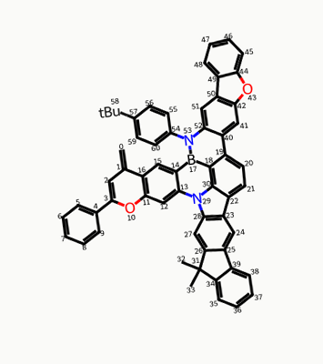 C=C1C=C(c2ccccc2)Oc2cc3c(cc21)B1c2c(ccc4c5cc6c(cc5n-3c24)C(C)(C)c2ccccc2-6)-c2cc3oc4ccccc4c3cc2N1c1ccc(C(C)(C)C)cc1